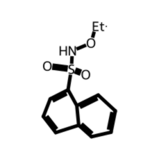 C[CH]ONS(=O)(=O)c1cccc2ccccc12